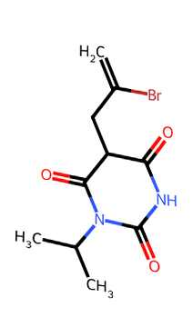 C=C(Br)CC1C(=O)NC(=O)N(C(C)C)C1=O